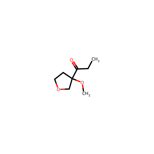 CCC(=O)C1(OC)CCOC1